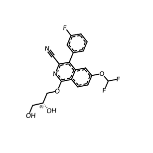 N#Cc1nc(OC[C@H](O)CO)c2ccc(OC(F)F)cc2c1-c1cccc(F)c1